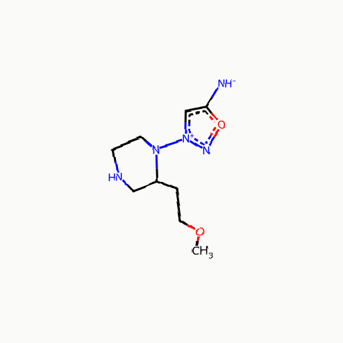 COCCC1CNCCN1[n+]1cc([NH-])on1